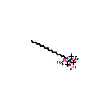 CCCCCCCCC=CCCCCCCCC(=O)NC(C(O[SiH](C)C)C(C)(C)C)(C(O[SiH](C)C)C(C)(C)C)C(O[SiH](C)C)C(C)(C)C